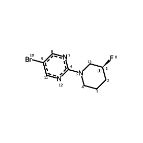 F[C@H]1CCCN(c2ncc(Br)cn2)C1